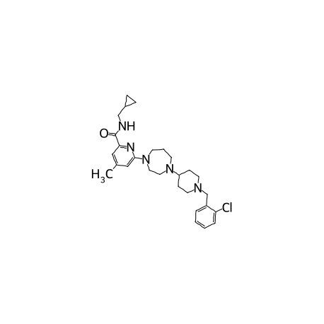 Cc1cc(C(=O)NCC2CC2)nc(N2CCCN(C3CCN(Cc4ccccc4Cl)CC3)CC2)c1